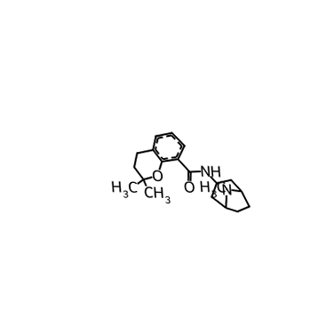 CN1C2CCC1CC(NC(=O)c1cccc3c1OC(C)(C)CC3)C2